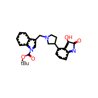 CC(C)(C)OC(=O)n1cc(CN2CCC(c3cccc4c3=C(O)C(=O)N=4)C2)c2ccccc21